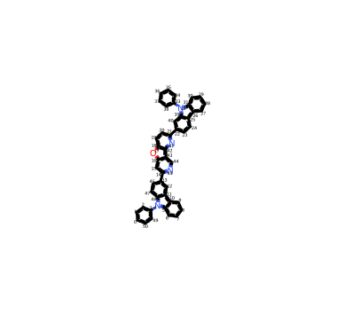 c1ccc(-n2c3ccccc3c3cc(-c4cc5oc6ccc(-c7ccc8c9ccccc9n(-c9ccccc9)c8c7)nc6c5cn4)ccc32)cc1